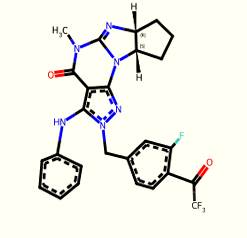 CN1C(=O)c2c(nn(Cc3ccc(C(=O)C(F)(F)F)c(F)c3)c2Nc2ccccc2)N2C1=N[C@@H]1CCC[C@@H]12